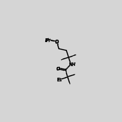 CCC(C)(C)C(=O)NC(C)(C)CCOC(C)C